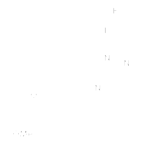 COCCCOc1cc(F)ccc1-c1ccc(Cn2ccc3nc(-c4cccc(F)c4F)nc-3c2)cc1